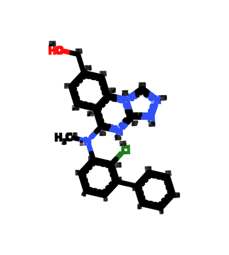 CN(c1cccc(-c2ccccc2)c1Cl)c1nc2nncn2c2cc(CO)ccc12